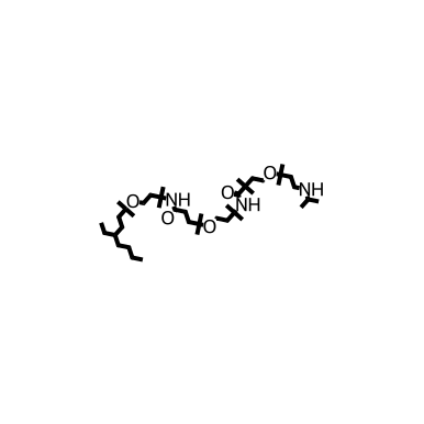 CCCCC(CC)CCC(C)(C)OCCC(C)(C)NC(=O)CCC(C)(C)OCCC(C)(C)NC(=O)C(C)(C)CCOC(C)(C)CCNC(C)C